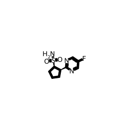 NS(=O)(=O)[C@@H]1CCC[C@@H]1c1ncc(F)cn1